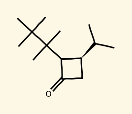 CC(C)[C@H]1CC(=O)C1C(C)(C)C(C)(C)C